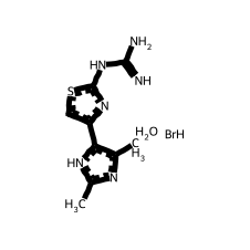 Br.Cc1nc(C)c(-c2csc(NC(=N)N)n2)[nH]1.O